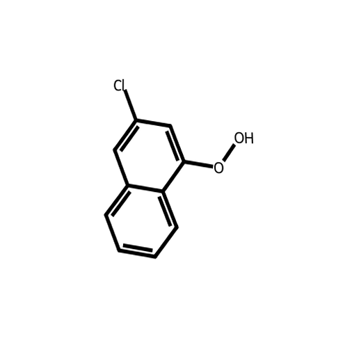 OOc1cc(Cl)cc2ccccc12